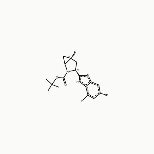 CC(C)(C)OC(=O)N1C2C[C@@H]2C[C@H]1c1nc2cc(Br)cc(F)c2[nH]1